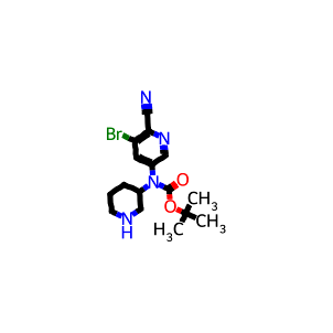 CC(C)(C)OC(=O)N(c1cnc(C#N)c(Br)c1)C1CCCNC1